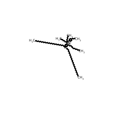 CCCCCCCC#CCCCc1ccccc1C1=C(CCCCCC)C(CCCCC)=C(c2ccc(CCCC)cc2)[N+]1=[N-].CCCCCCCCCCCCCCCCCCCCCCCCCCCC#[C][Ni][C]#CCCCCCCCCCCCCCCCCCCCCCCCCCCC